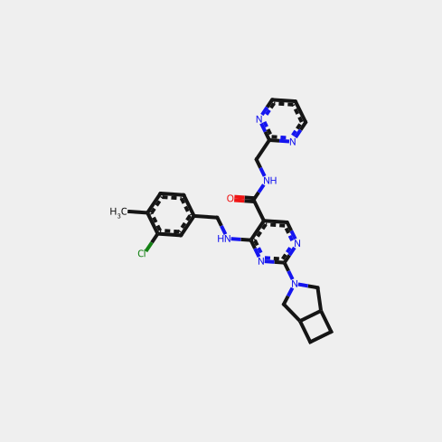 Cc1ccc(CNc2nc(N3CC4CCC4C3)ncc2C(=O)NCc2ncccn2)cc1Cl